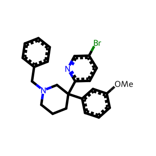 COc1cccc(C2(c3ccc(Br)cn3)CCCN(Cc3ccccc3)C2)c1